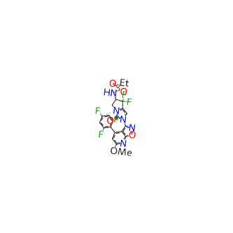 CCS(=O)(=O)N[C@@H]1Cn2c(cn(-c3noc4nc(OC)cc(-c5c(F)cc(F)cc5F)c34)c2=O)C1(F)F